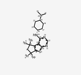 [2H]C1([2H])CC([2H])([2H])c2c1sc1ncnc(N[C@H]3CC[C@H](N(C)C)CC3)c21